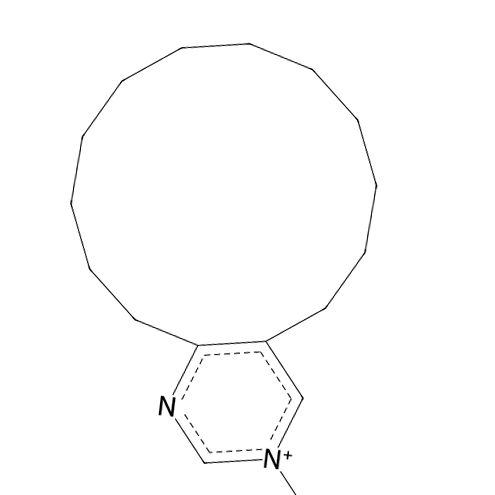 C[n+]1cnc2c(c1)CCCCCCCCCCCC2